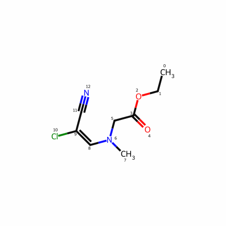 CCOC(=O)CN(C)/C=C(/Cl)C#N